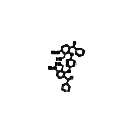 COc1ccc(C(=O)c2ccccc2)c(OC(=O)/C=C\C(=O)Oc2c(C(=O)c3ccccc3)ccc(OC)c2CO)c1CO